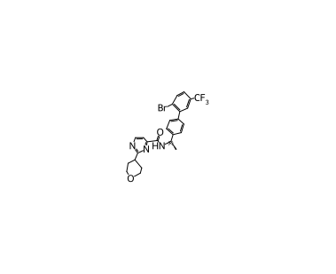 C[C@@H](NC(=O)c1ccnc(C2CCOCC2)n1)c1ccc(-c2cc(C(F)(F)F)ccc2Br)cc1